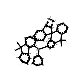 CC1(C)c2ccccc2C2(c3ccccc3-c3ccccc32)c2cc(N(c3ccccc3)c3cccc4c3-c3ccccc3C4(C)C)ccc21